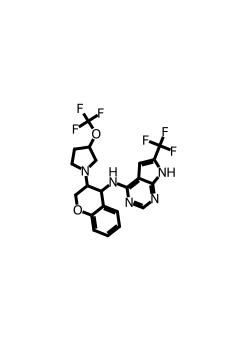 FC(F)(F)OC1CCN(C2COc3ccccc3C2Nc2ncnc3[nH]c(C(F)(F)F)cc23)C1